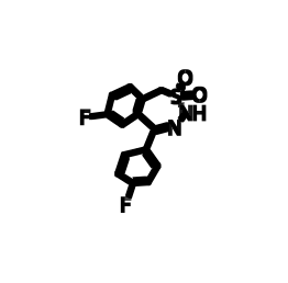 O=S1(=O)Cc2ccc(F)cc2C(c2ccc(F)cc2)=NN1